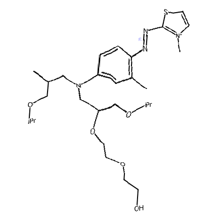 Cc1cc(N(CC(C)COC(C)C)CC(COC(C)C)OCCOCCO)ccc1/N=N/c1scc[n+]1C